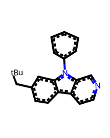 CC(C)(C)Cc1ccc2c3ccncc3n(-c3ccccc3)c2c1